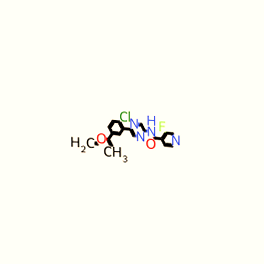 C=CO/C(=C\C)c1ccc(Cl)c(-c2cnc(NC(=O)c3ccncc3F)cn2)c1